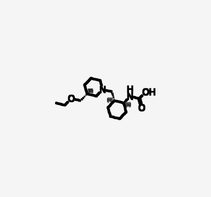 CCOC[C@@H]1CCCN(C[C@H]2CCCC[C@@H]2NC(=O)O)C1